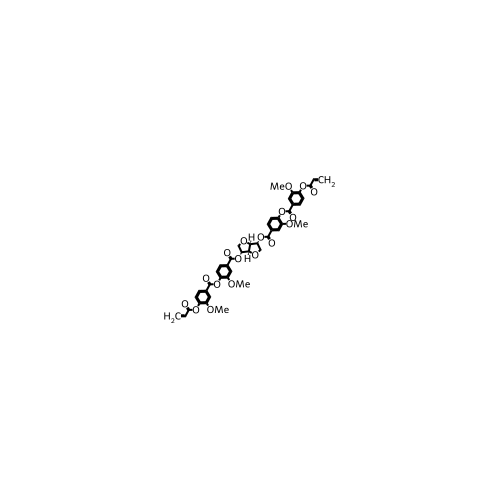 C=CC(=O)Oc1ccc(C(=O)Oc2ccc(C(=O)O[C@@H]3CO[C@@H]4[C@H]3OC[C@H]4OC(=O)c3ccc(OC(=O)c4ccc(OC(=O)C=C)c(OC)c4)c(OC)c3)cc2OC)cc1OC